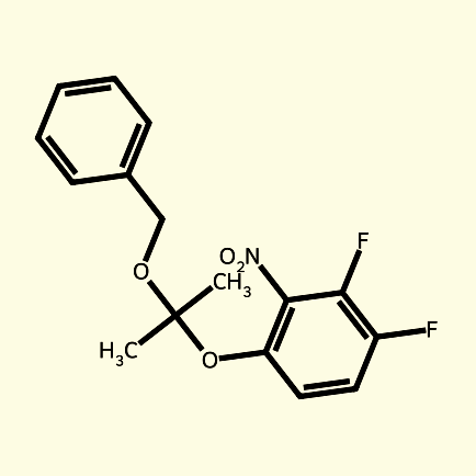 CC(C)(OCc1ccccc1)Oc1ccc(F)c(F)c1[N+](=O)[O-]